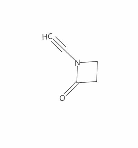 C#CN1CCC1=O